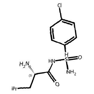 CC(C)C[C@H](N)C(=O)N[SH](N)(=O)c1ccc(Cl)cc1